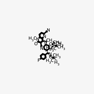 CN(c1c(C#N)c(=O)n(C)c2ccc(C#N)nc12)[C@@H]1CC[C@@H](C(=NOC(C)(C)C)c2ccc(F)cc2)C[C@@H]1O[Si](C)(C)C(C)(C)C